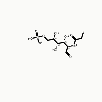 O=C[C@H](NC(=O)CI)[C@@H](O)[C@H](O)[C@H](O)COP(=O)(O)O